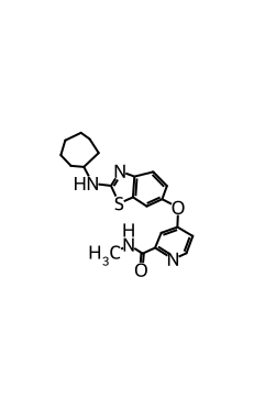 CNC(=O)c1cc(Oc2ccc3nc(NC4CCCCCC4)sc3c2)ccn1